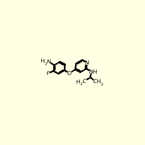 CC(C)Nc1cc(Oc2ccc(N)c(F)c2)ccn1